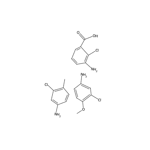 COc1ccc(N)cc1Cl.Cc1ccc(N)cc1Cl.Nc1cccc(C(=O)O)c1Cl